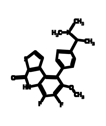 COc1c(F)c(F)c2[nH]c(=O)c3sccc3c2c1-c1ccc(C(C)N(C)C)cc1